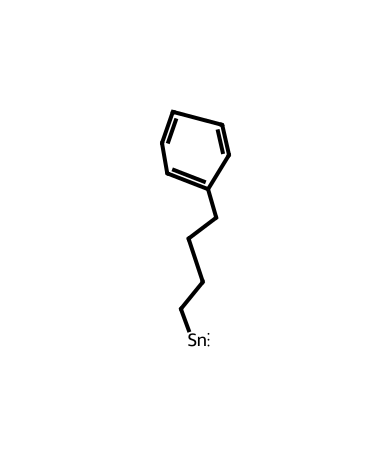 [Sn][CH2]CCCc1ccccc1